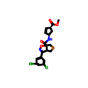 COC(=O)[C@@H]1C=C[C@H](NC(=O)C23CSCC2C(c2cc(Cl)cc(Cl)c2)=NO3)C1